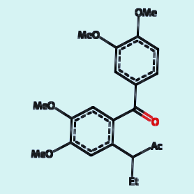 CCC(C(C)=O)c1cc(OC)c(OC)cc1C(=O)c1ccc(OC)c(OC)c1